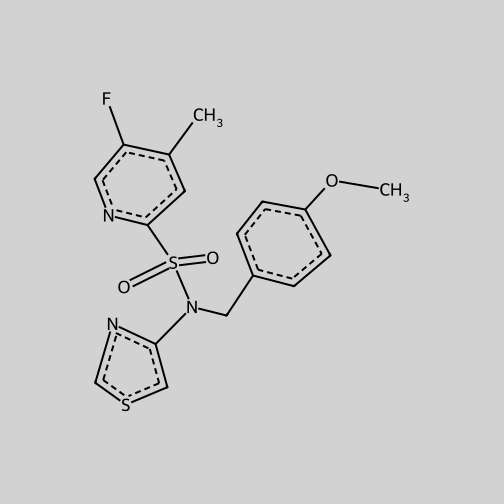 COc1ccc(CN(c2cscn2)S(=O)(=O)c2cc(C)c(F)cn2)cc1